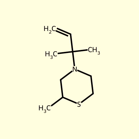 C=CC(C)(C)N1CCSC(C)C1